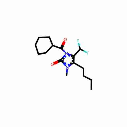 CCCCc1c(C(F)F)n(C(=O)C2CCCCC2)c(=O)n1C